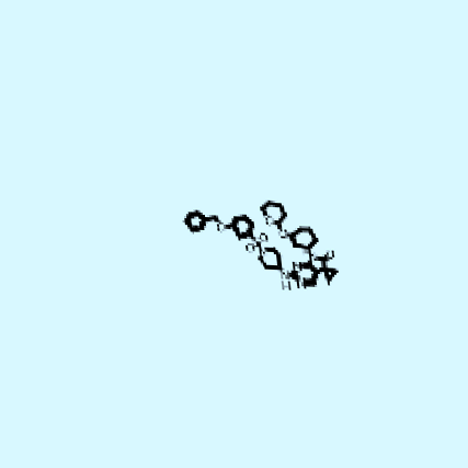 O=C1N([C@@H]2CCC[C@@H](OC3CCCCO3)C2)c2nc(NC3CCN(S(=O)(=O)c4cccc(OCc5ccccc5)c4)CC3)ncc2C12CC2